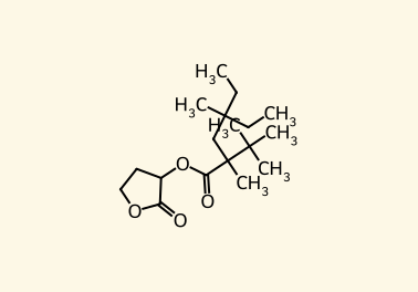 CCC(C)(CC)CC(C)(C(=O)OC1CCOC1=O)C(C)(C)C